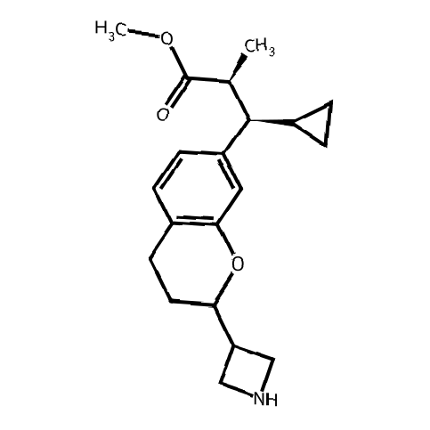 COC(=O)[C@@H](C)[C@H](c1ccc2c(c1)OC(C1CNC1)CC2)C1CC1